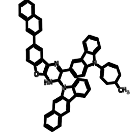 CC1CC=CC(n2c3ccccc3c3cc(C4=Nc5c(oc6ccc(-c7ccc8ccccc8c7)cc56)NC4n4c5ccccc5c5cc6ccccc6cc54)ccc32)=CC1